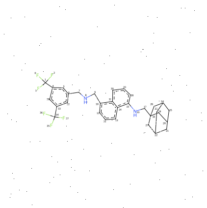 FC(F)(F)c1cc(CNCc2cccc3c(NCC45CC6CC(CC(C6)C4)C5)cccc23)cc(C(F)(F)F)c1